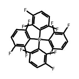 Fc1ccc(F)c([B-](c2c(F)ccc(F)c2F)(c2c(F)ccc(F)c2F)c2c(F)ccc(F)c2F)c1F